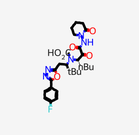 CCCC[C@@H](C(=O)C(=O)NN1CCCCC1=O)N(C(=O)O)C(Cc1nnc(-c2ccc(F)cc2)o1)C(C)(C)C